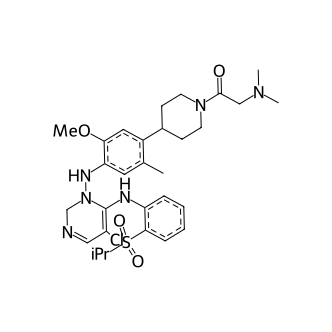 COc1cc(C2CCN(C(=O)CN(C)C)CC2)c(C)cc1NN1CN=CC(Cl)=C1Nc1ccccc1S(=O)(=O)C(C)C